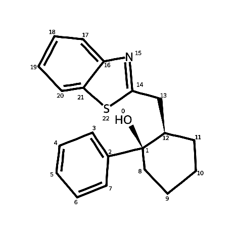 O[C@]1(c2ccccc2)CCCC[C@@H]1Cc1nc2ccccc2s1